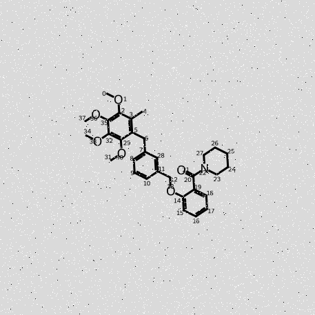 COc1c(C)c(Cc2cccc(COc3ccccc3C(=O)N3CCCCC3)c2)c(OC)c(OC)c1OC